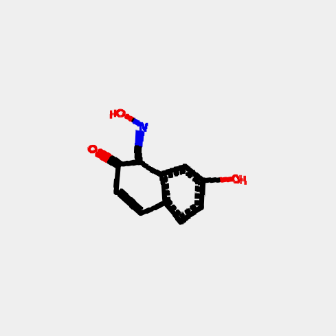 O=C1C=Cc2ccc(O)cc2C1=NO